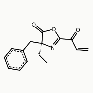 C=CC(=O)C1=N[C@@](CC)(Cc2ccccc2)C(=O)O1